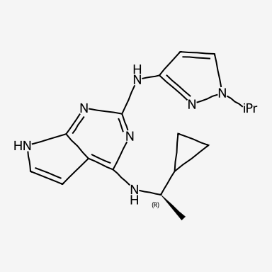 CC(C)n1ccc(Nc2nc(N[C@H](C)C3CC3)c3cc[nH]c3n2)n1